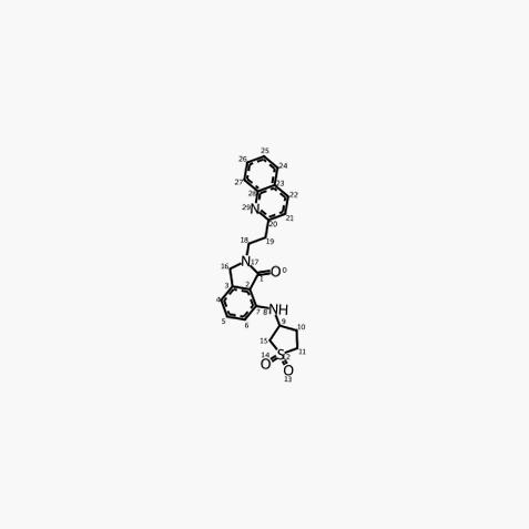 O=C1c2c(cccc2NC2CCS(=O)(=O)C2)CN1CCc1ccc2ccccc2n1